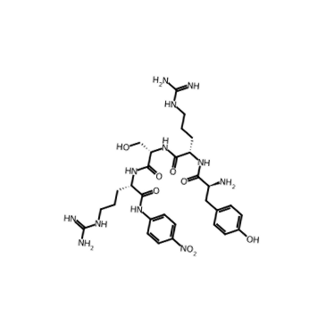 N=C(N)NCCC[C@H](NC(=O)[C@H](CO)NC(=O)[C@H](CCCNC(=N)N)NC(=O)[C@@H](N)Cc1ccc(O)cc1)C(=O)Nc1ccc([N+](=O)[O-])cc1